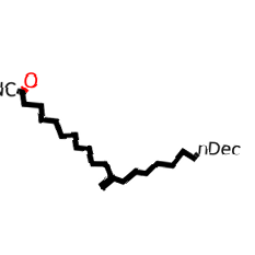 C=C(CCCCCCCCCCCCCCCCC)CCCCCCCCCCC(=O)C#N